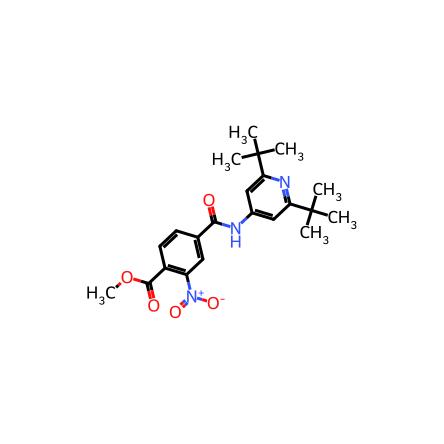 COC(=O)c1ccc(C(=O)Nc2cc(C(C)(C)C)nc(C(C)(C)C)c2)cc1[N+](=O)[O-]